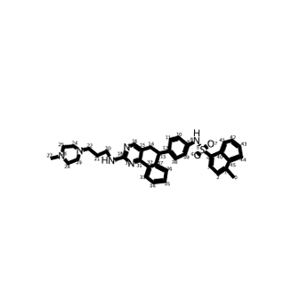 Cc1ccc(S(=O)(=O)Nc2ccc(C3Cc4cnc(NCCCN5CCN(C)CC5)nc4-c4ccccc43)cc2)c2ccccc12